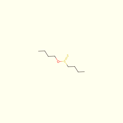 CCCCOS(=S)CCCC